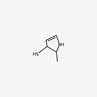 CC1BC=CC1S